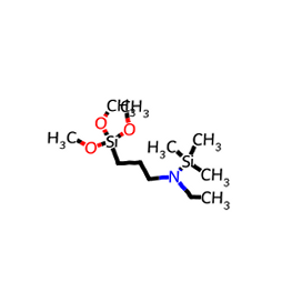 CCN(CCC[Si](OC)(OC)OC)[Si](C)(C)C